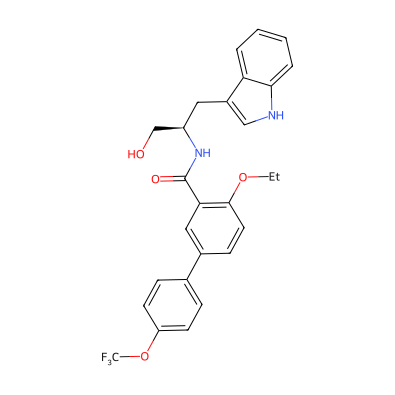 CCOc1ccc(-c2ccc(OC(F)(F)F)cc2)cc1C(=O)N[C@@H](CO)Cc1c[nH]c2ccccc12